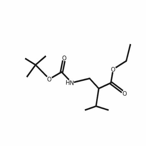 CCOC(=O)C(CNC(=O)OC(C)(C)C)C(C)C